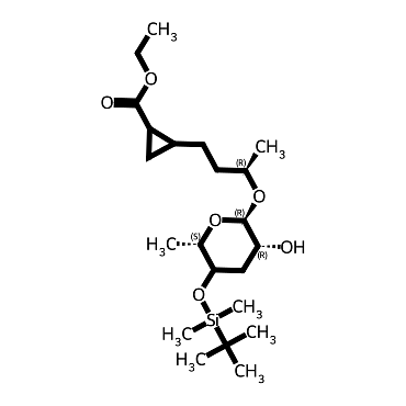 CCOC(=O)C1CC1CC[C@@H](C)O[C@@H]1O[C@@H](C)C(O[Si](C)(C)C(C)(C)C)C[C@H]1O